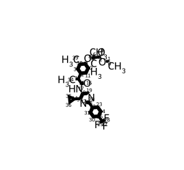 CCOC(=O)C(C)(C)Oc1ccc(C(C)C(=O)Nc2cnc(-c3ccc(C(F)(F)F)cc3)nc2C2CC2)cc1C